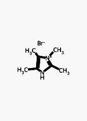 Cc1[nH]c(C)[n+](C)c1C.[Br-]